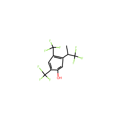 CC(c1cc(O)c(C(F)(F)F)cc1C(F)(F)F)C(F)(F)F